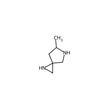 CC1CC2(CN1)CN2